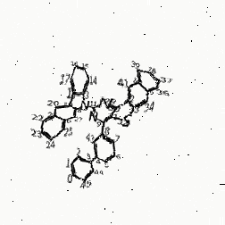 c1ccc(-c2cccc(-c3nc(-n4c5ccccc5c5cc6ccccc6cc54)nc4c3sc3cc5ccccc5cc34)c2)cc1